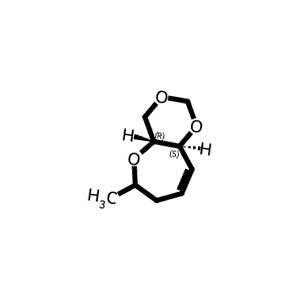 CC1CC=C[C@@H]2OCOC[C@H]2O1